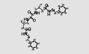 CC(CNC(=O)C(=O)NCC(C)CC(=O)NSCc1ccccc1)CC(=O)NSCc1ccccc1